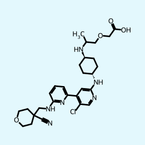 CC(COCC(=O)O)N[C@H]1CC[C@H](Nc2cc(-c3cccc(NCC4(C#N)CCOCC4)n3)c(Cl)cn2)CC1